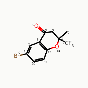 CC1(C(F)(F)F)CC(=O)c2cc(Br)ccc2O1